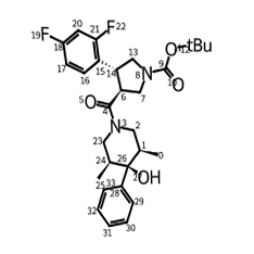 C[C@@H]1CN(C(=O)[C@@H]2CN(C(=O)OC(C)(C)C)C[C@H]2c2ccc(F)cc2F)C[C@H](C)[C@@]1(O)c1ccccc1